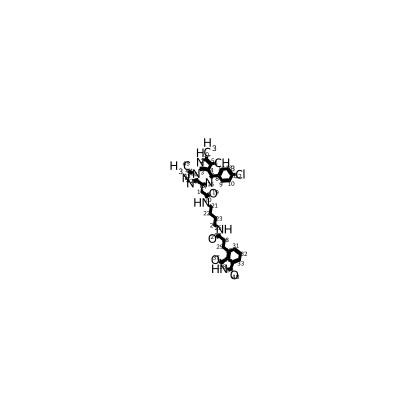 Cc1[nH]c2c(c1C)C(c1ccc(Cl)cc1)=N[C@@H](CC(=O)NCCCCNC(=O)CCc1cccc3c1C(=O)NC3=O)c1nnc(C)n1-2